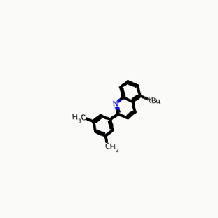 Cc1cc(C)cc(-c2ccc3c(C(C)(C)C)cccc3n2)c1